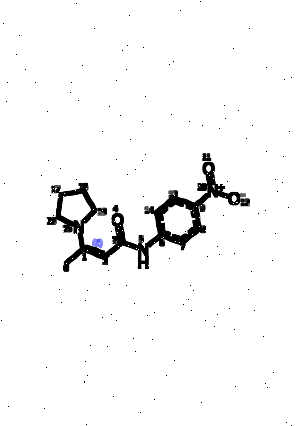 C/C(=C/C(=O)Nc1ccc([N+](=O)[O-])cc1)N1CCCC1